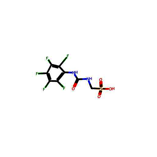 O=C(NCS(=O)(=O)O)Nc1c(F)c(F)c(F)c(F)c1F